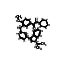 COc1ccc(C(=O)NC2CCCCC2)cc1Nc1nccc(-c2cn(C(C)C)c3cnccc23)n1